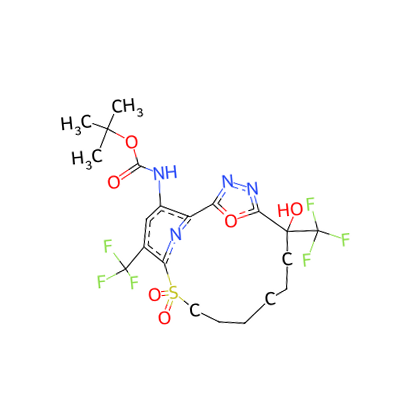 CC(C)(C)OC(=O)Nc1cc(C(F)(F)F)c2nc1-c1nnc(o1)C(O)(C(F)(F)F)CCCCCCS2(=O)=O